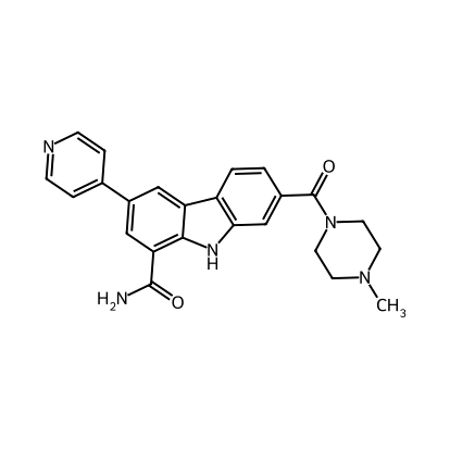 CN1CCN(C(=O)c2ccc3c(c2)[nH]c2c(C(N)=O)cc(-c4ccncc4)cc23)CC1